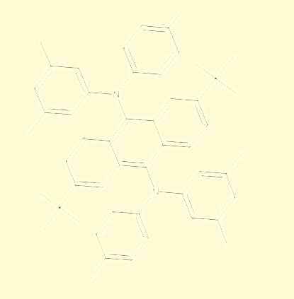 Cc1ccc(N(c2cc(C)cc(C)c2)c2c3ccc(C(C)(C)C)cc3c(N(c3ccc(C)cc3)c3cc(C)cc(C)c3)c3ccc(C(C)(C)C)cc23)cc1